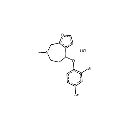 CC(=O)c1ccc(OC2CCN(C)Cc3occc32)c(Br)c1.Cl